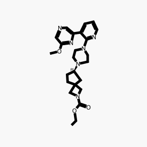 CCOC(=O)N1CC2(CC[C@@H](N3CCN(c4ncccc4-c4cncc(OC)n4)CC3)C2)C1